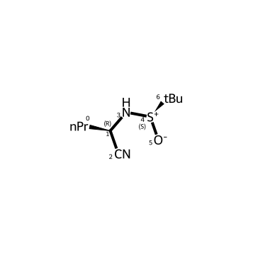 CCC[C@H](C#N)N[S@+]([O-])C(C)(C)C